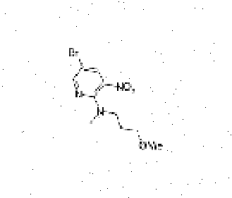 COCCCN(C)c1ncc(Br)cc1[N+](=O)[O-]